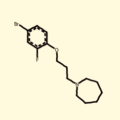 Fc1cc(Br)ccc1OCCCN1CCCCCC1